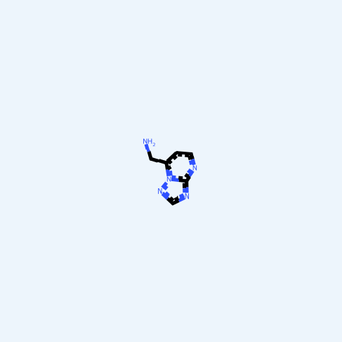 NCc1ccnc2ncnn12